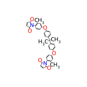 Cc1cc(Oc2ccc(C(C)(C)c3ccc(Oc4ccc(N5C(=O)C=CC5=O)c(C)c4)cc3)cc2)ccc1N1C(=O)C=CC1=O